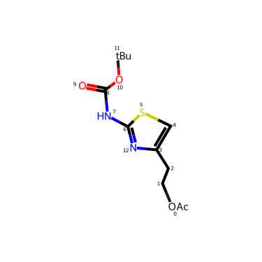 CC(=O)OCCc1csc(NC(=O)OC(C)(C)C)n1